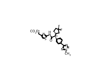 CCOC(=O)Cc1csc(NC(=O)[C@H](c2ccc(-c3nnn(C)n3)cc2)[C@H]2CCC(F)(F)C2)n1